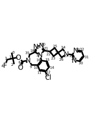 CC(C)(CF)OC(=O)N1Cc2cc(Cl)ccc2-n2c(nnc2C2CC3(C2)CN(c2ncccn2)C3)C1